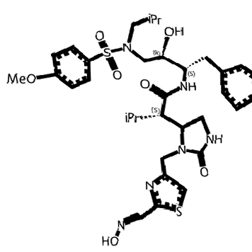 COc1ccc(S(=O)(=O)N(CC(C)C)C[C@@H](O)[C@H](Cc2ccccc2)NC(=O)[C@@H](C(C)C)C2CNC(=O)N2Cc2csc(C=NO)n2)cc1